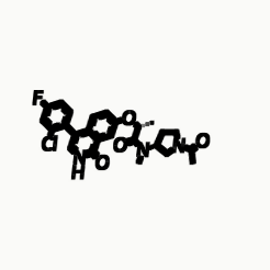 CC(=O)N1CC[C@H](N(C)C(=O)[C@@H](C)Oc2ccc3c(-c4ccc(F)cc4Cl)c[nH]c(=O)c3c2)C1